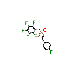 O=S(=O)(C=Cc1ccc(F)cc1)Cc1c(F)c(F)c(F)c(F)c1F